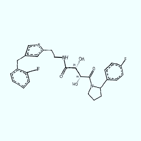 O=C(NCCc1cc(Cc2ccccc2F)cs1)[C@H](O)[C@@H](O)C(=O)N1CCCC1c1ccc(F)cc1